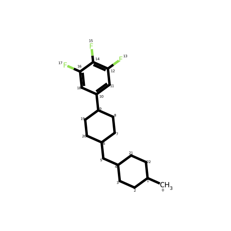 CC1CCC(CC2CCC(c3cc(F)c(F)c(F)c3)CC2)CC1